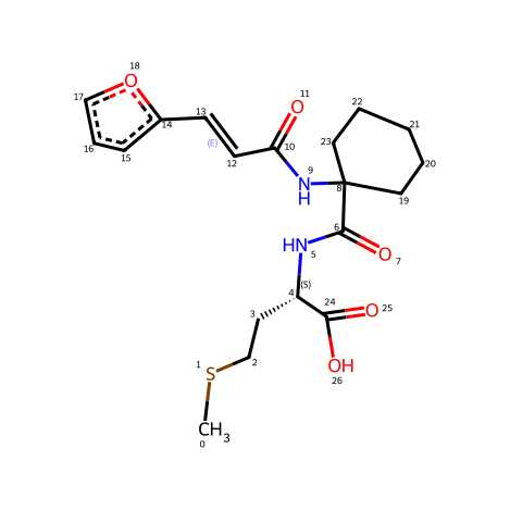 CSCC[C@H](NC(=O)C1(NC(=O)/C=C/c2ccco2)CCCCC1)C(=O)O